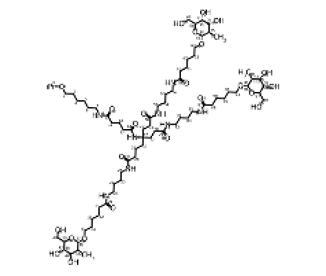 CC(C)OCCCCCCNC(=O)CCCC(=O)NC(CCCC(=O)NCCCCNC(=O)CCCCCO[C@@H]1OC(CO)[C@H](O)[C@H](O)C1C)(CCC(=O)NCCCCNC(=O)CCCCCO[C@@H]1OC(CO)[C@H](O)[C@H](O)C1C)CCC(=O)NCCCCNC(=O)CCCCCO[C@@H]1OC(CO)[C@H](O)[C@H](O)C1C